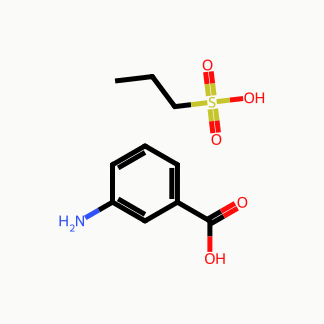 CCCS(=O)(=O)O.Nc1cccc(C(=O)O)c1